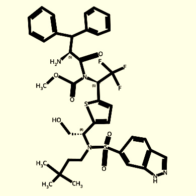 COC(=O)N(C(=O)[C@@H](N)C(c1ccccc1)c1ccccc1)[C@H](c1ccc([C@@H](CO)N(CCC(C)(C)C)S(=O)(=O)c2ccc3cn[nH]c3c2)s1)C(F)(F)F